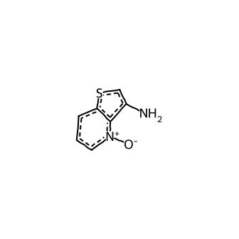 Nc1csc2ccc[n+]([O-])c12